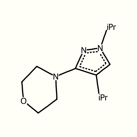 CC(C)c1cn(C(C)C)nc1N1CCOCC1